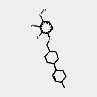 CCOc1ccc(OCC2CCC(C3C=CC(C)CC3)CC2)c(F)c1F